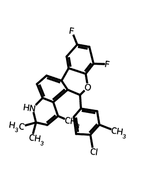 CC1=CC(C)(C)Nc2ccc3c(c21)C(c1ccc(Cl)c(C)c1)Oc1c(F)cc(F)cc1-3